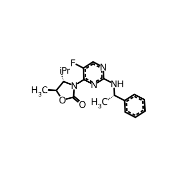 CC(C)[C@H]1C(C)OC(=O)N1c1nc(N[C@@H](C)c2ccccc2)ncc1F